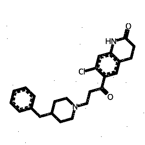 O=C1CCc2cc(C(=O)CCN3CCC(Cc4ccccc4)CC3)c(Cl)cc2N1